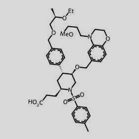 CCO[C@H](C)COCc1ccc([C@H]2C[C@H](CCC(=O)O)N(S(=O)(=O)c3ccc(C)cc3)C[C@@H]2OCc2ccc3c(c2)N(CCCOC)CCO3)cc1